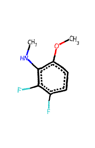 CNc1c(OC)ccc(F)c1F